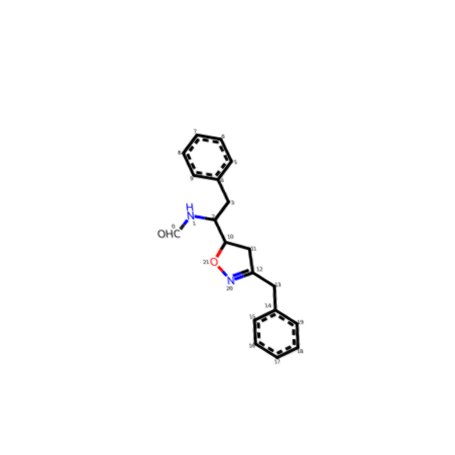 O=CNC(Cc1ccccc1)C1CC(Cc2ccccc2)=NO1